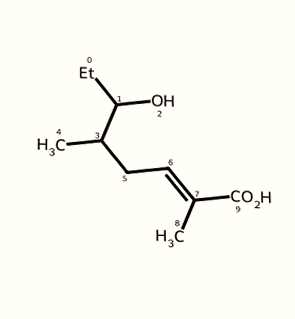 CCC(O)C(C)C/C=C(\C)C(=O)O